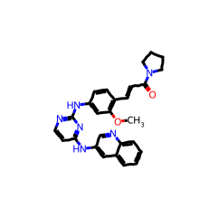 COc1cc(Nc2nccc(Nc3cnc4ccccc4c3)n2)ccc1C=CC(=O)N1CCCC1